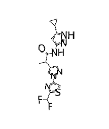 CC(C(=O)Nc1cc(C2CC2)[nH]n1)c1cnn(-c2csc(C(F)F)n2)c1